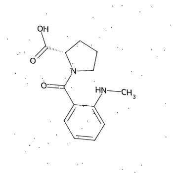 CNc1ccccc1C(=O)N1CCC[C@H]1C(=O)O